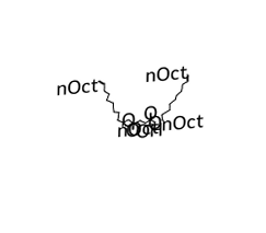 CCCCCCCC/C=C\CCCCCCCC(CCCCCCCC)OC(=O)CC(O)C(=O)OC(CCCCCCCC)CCCCCCC/C=C\CCCCCCCC